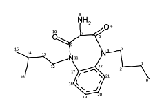 CCCCN1C(=O)C(N)C(=O)N(CCC(C)C)c2ccccc21